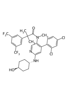 CN(C(=O)C(C)(C)c1cc(C(F)(F)F)cc(C(F)(F)F)c1)c1cnc(N[C@H]2CC[C@H](O)CC2)cc1-c1ccc(Cl)cc1Cl